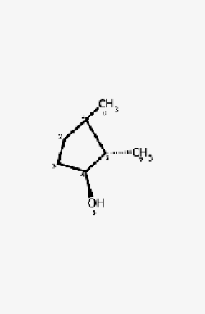 CC1CC[C@H](O)[C@H]1C